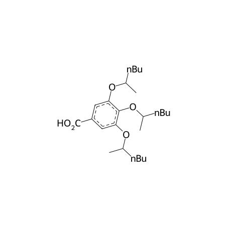 CCCCC(C)Oc1cc(C(=O)O)cc(OC(C)CCCC)c1OC(C)CCCC